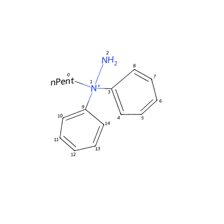 CCCCC[N+](N)(c1ccccc1)c1ccccc1